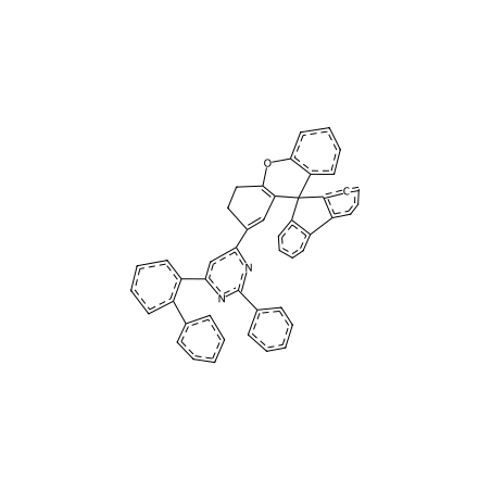 C1=C(c2cc(-c3ccccc3-c3ccccc3)nc(-c3ccccc3)n2)CCC2=C1C1(c3ccccc3O2)c2ccccc2-c2ccccc21